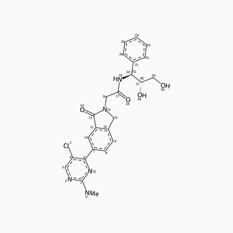 CNc1ncc(Cl)c(-c2ccc3c(c2)C(=O)N(CC(=O)N[C@@H](c2ccccc2)[C@@H](O)CO)C3)n1